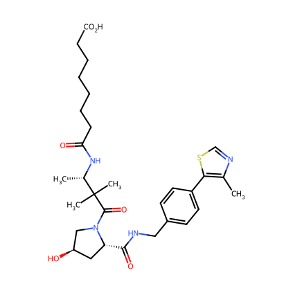 Cc1ncsc1-c1ccc(CNC(=O)[C@@H]2C[C@@H](O)CN2C(=O)C(C)(C)[C@H](C)NC(=O)CCCCCCC(=O)O)cc1